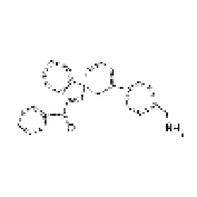 NCc1ccc(C2=CC=CC(C=CC(=O)c3ccccc3)(c3ccccc3)C2)cc1